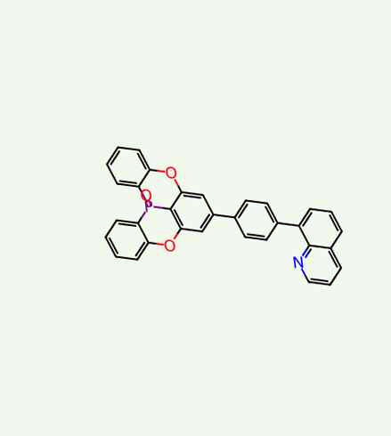 O=P12c3ccccc3Oc3cc(-c4ccc(-c5cccc6cccnc56)cc4)cc(c31)Oc1ccccc12